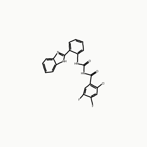 O=C(NC(=O)c1cc(F)c(F)cc1Cl)Nc1ccccc1-c1nc2ccccc2[nH]1